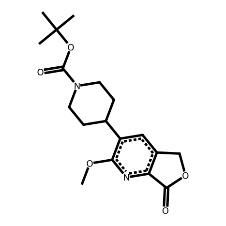 COc1nc2c(cc1C1CCN(C(=O)OC(C)(C)C)CC1)COC2=O